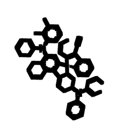 C#CC1=C(/C=C\C)[C@]2(c3ccccc31)c1cc(N(C3=CC=CCC3)c3cccc(C)c3C)c3c(c1C1=CCC(N(C(/C=C\C)=C/C)c4ccccc4)CC12)C=CCC3